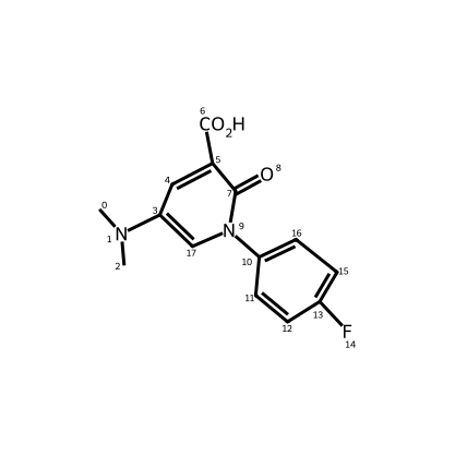 CN(C)c1cc(C(=O)O)c(=O)n(-c2ccc(F)cc2)c1